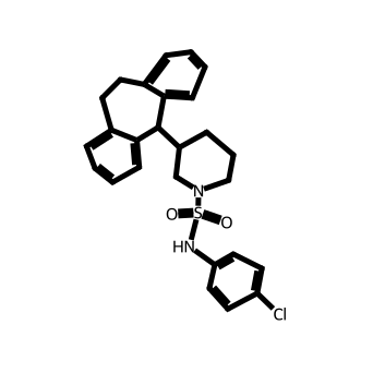 O=S(=O)(Nc1ccc(Cl)cc1)N1CCCC(C2c3ccccc3CCc3ccccc32)C1